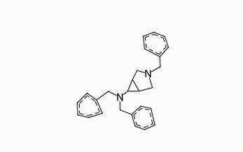 c1ccc(CN2CC3C(C2)C3N(Cc2ccccc2)Cc2ccccc2)cc1